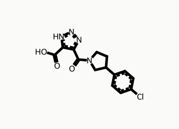 O=C(O)c1[nH]nnc1C(=O)N1CCC(c2ccc(Cl)cc2)C1